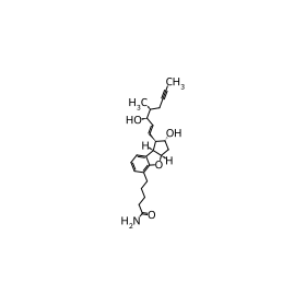 CC#CC[C@H](C)[C@H](O)/C=C/[C@@H]1[C@H]2c3cccc(CCCCC(N)=O)c3O[C@H]2C[C@H]1O